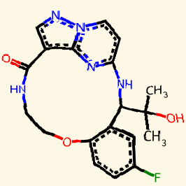 CC(C)(O)C1Nc2ccn3ncc(c3n2)C(=O)NCCOc2ccc(F)cc21